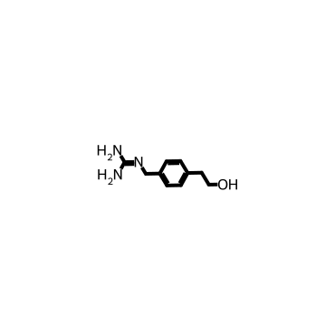 NC(N)=NCc1ccc(CCO)cc1